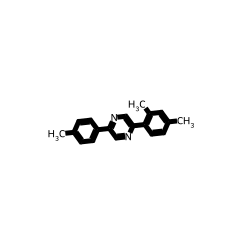 Cc1ccc(-c2cnc(-c3ccc(C)cc3C)cn2)cc1